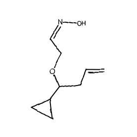 C=CCC(OC/C=N\O)C1CC1